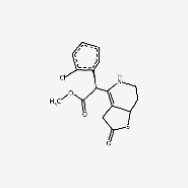 COC(=O)[C@H](C1=C2CC(=O)SC2CCN1)c1ccccc1Cl